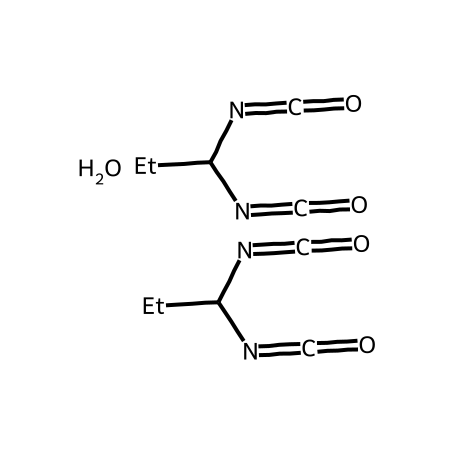 CCC(N=C=O)N=C=O.CCC(N=C=O)N=C=O.O